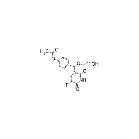 CC(=O)Oc1ccc(C(OCCO)n2cc(F)c(=O)[nH]c2=O)cc1